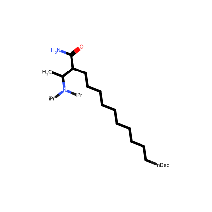 CCCCCCCCCCCCCCCCCCCCC(C(N)=O)C(C)N(C(C)C)C(C)C